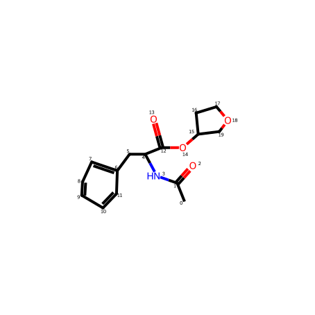 CC(=O)NC(Cc1ccccc1)C(=O)OC1CCOC1